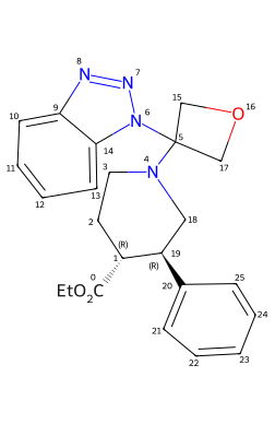 CCOC(=O)[C@@H]1CCN(C2(n3nnc4ccccc43)COC2)C[C@H]1c1ccccc1